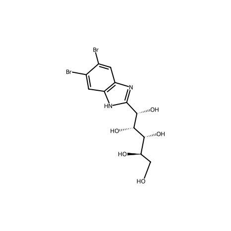 OC[C@@H](O)[C@@H](O)[C@H](O)[C@@H](O)c1nc2cc(Br)c(Br)cc2[nH]1